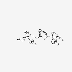 CC(C)(C)CCc1cc(C(C)(C)C)co1